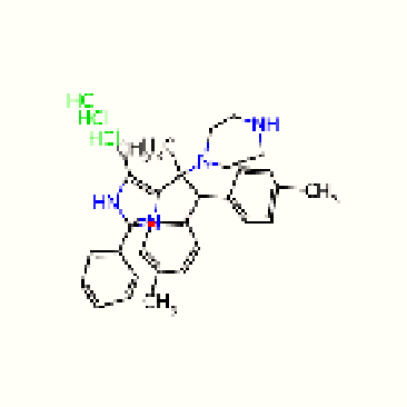 Cc1ccc(C(c2ccc(C)cc2)C(C)(c2nc(-c3ccccc3)[nH]c2C)N2CCNCC2)cc1.Cl.Cl.Cl